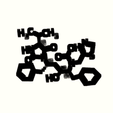 CC(C)[C@@H]1NC(=O)N([C@@H](Cc2ccccc2)C[C@@H](O)[C@H](Cc2ccccc2)N(Cc2cncs2)C(=O)O)C1=O